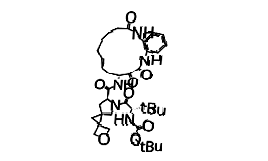 CC(C)(C)OC(=O)N[C@H](C(=O)N1C[C@]2(C[C@H]1C(=O)N[C@@H]1C/C=C/CCCCC(=O)Nc3ccccc3NC(=O)C1=O)CC21COC1)C(C)(C)C